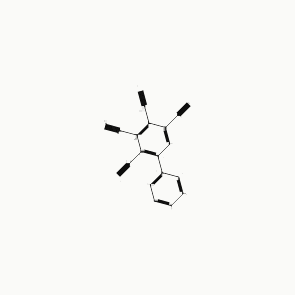 C#Cc1cc(-c2ccccc2)c(C#C)c(C#C)c1C#C